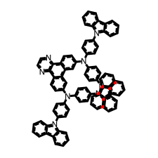 c1ccc2c(c1)c1ccccc1n2-c1ccc(N(c2ccc(-n3c4ccccc4c4ccccc43)cc2)c2ccc3c(c2)c2cc(N(c4ccc(-n5c6ccccc6c6ccccc65)cc4)c4ccc(-n5c6ccccc6c6ccccc65)cc4)ccc2c2nccnc32)cc1